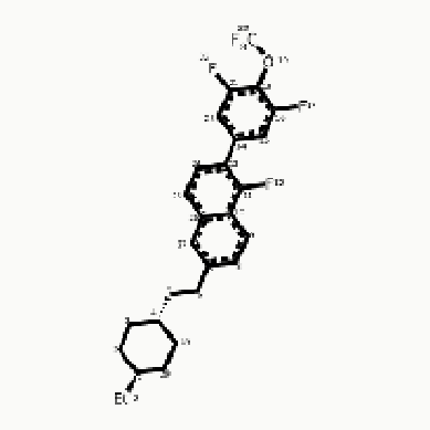 CC[C@H]1CC[C@H](CCc2ccc3c(F)c(-c4cc(F)c(OC(F)(F)F)c(F)c4)ccc3c2)CC1